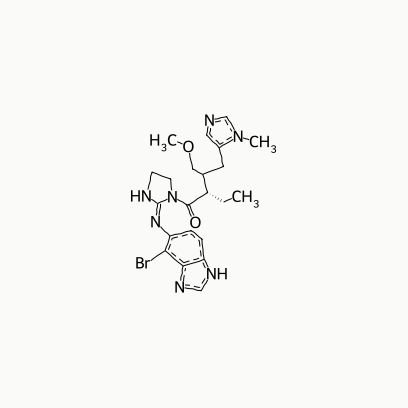 CC[C@H](C(=O)N1CCN/C1=N/c1ccc2[nH]cnc2c1Br)C(COC)Cc1cncn1C